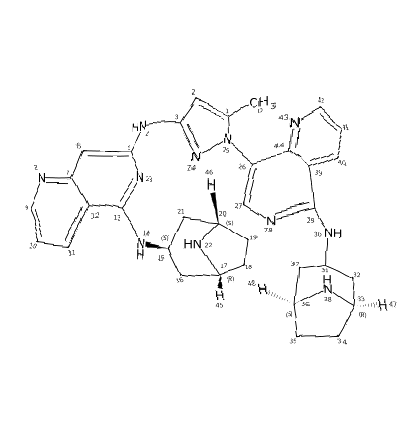 Cc1cc(Nc2cc3ncccc3c(N[C@@H]3C[C@H]4CC[C@@H](C3)N4)n2)nn1-c1cnc(NC2C[C@H]3CC[C@@H](C2)N3)c2cccnc12